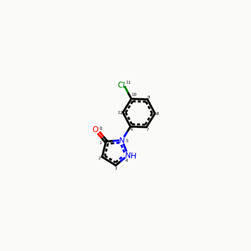 O=c1cc[nH]n1-c1cccc(Cl)c1